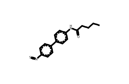 CCCCC(=O)Nc1ccc(-c2ccc(N=S)cc2)cc1